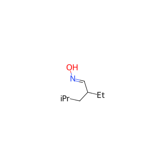 CCC(C=NO)CC(C)C